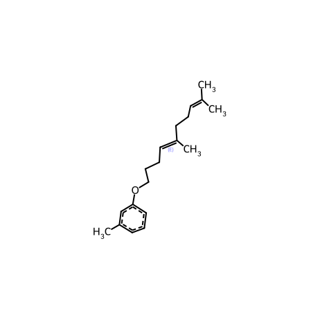 CC(C)=CCC/C(C)=C/CCCOc1cccc(C)c1